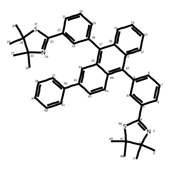 CC1(C)N=C(c2cccc(-c3c4ccccc4c(-c4cccc(C5=NC(C)(C)C(C)(C)S5)c4)c4cc(-c5ccccc5)ccc34)c2)SC1(C)C